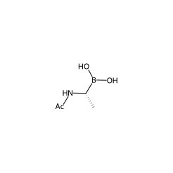 CC(=O)N[C@@H](C)B(O)O